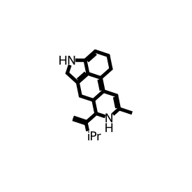 C=C(C(C)C)C1NC(C)=CC2=C3CCC=C4NCC(=C43)CC21